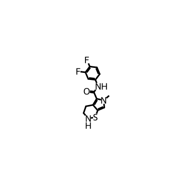 Cn1cc2c(c1C(=O)Nc1ccc(F)c(F)c1)CCNS2